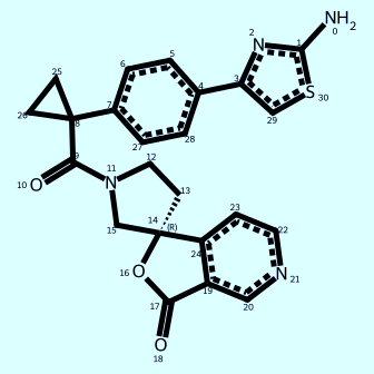 Nc1nc(-c2ccc(C3(C(=O)N4CC[C@@]5(C4)OC(=O)c4cnccc45)CC3)cc2)cs1